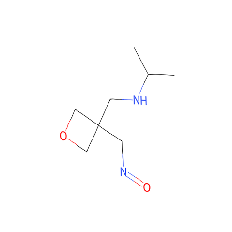 CC(C)NCC1(CN=O)COC1